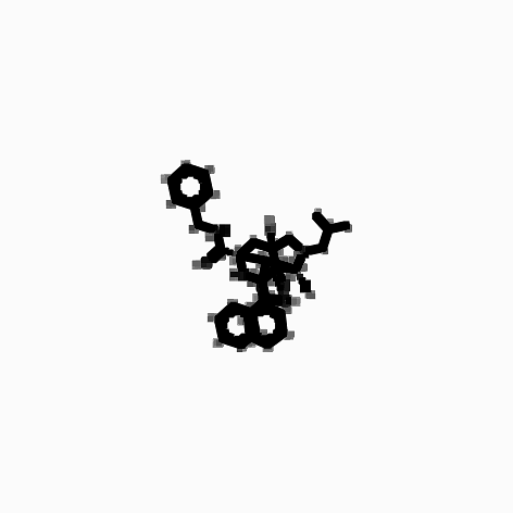 CC(C)CN1C[C@H]2C[C@]3(C(=O)NCc4ccccc4)NC(C(=O)c4ccccc4)[C@H]2[C@H]1[C@H]3Cc1ccccc1